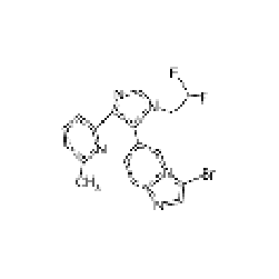 Cc1cccc(-c2ncn(CC(F)F)c2-c2ccc3ncc(Br)n3c2)n1